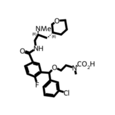 CN[C@@H](CNC(=O)c1ccc(F)c(C(OCCN(C)C(=O)O)c2cccc(Cl)c2)c1)C[C@H]1CCCOC1